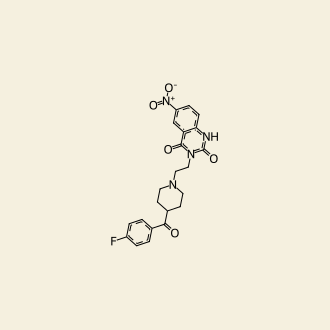 O=C(c1ccc(F)cc1)C1CCN(CCn2c(=O)[nH]c3ccc([N+](=O)[O-])cc3c2=O)CC1